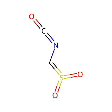 O=C=NC=S(=O)=O